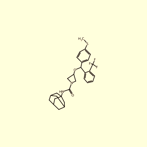 CSc1ccc(C(OC2CN(C(=O)NC34CC5CC(CC(C5)C3)C4)C2)c2ccccc2C(F)(F)F)cc1